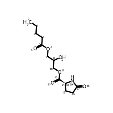 CCCCC(=O)OCC(O)COC(=O)[C@@H]1CCC(=O)N1